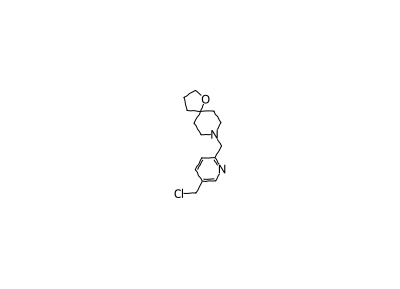 ClCc1ccc(CN2CCC3(CCCO3)CC2)nc1